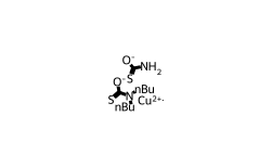 CCCCN(CCCC)C([O-])=S.NC([O-])=S.[Cu+2]